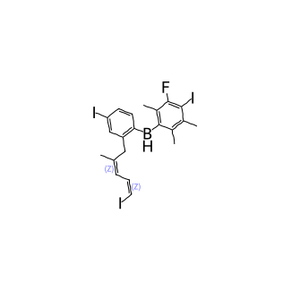 C/C(=C/C=C\I)Cc1cc(I)ccc1Bc1c(C)c(C)c(I)c(F)c1C